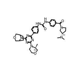 C[C@H]1COCCN1c1nc(-c2ccc(NC(=O)Nc3ccc(C(=O)N4CC[C@H](N(C)C)C4)cc3)cc2)nc(N2C3CCC2COC3)n1